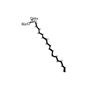 C=CCCCCCCCCCCCCCCCC[SiH](OC)OC